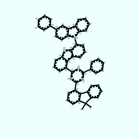 CC1(C)c2ccccc2-c2c(-c3nc(-c4ccccc4)nc(-c4cccc5oc6c(-n7c8ccccc8c8cc(-c9ccccc9)ccc87)cccc6c45)n3)cccc21